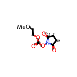 COCCOC(=O)ON1C(=O)CCC1=O